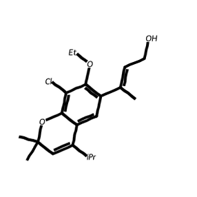 CCOc1c(/C(C)=C/CO)cc2c(c1Cl)OC(C)(C)C=C2C(C)C